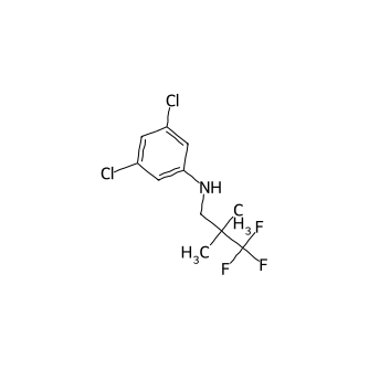 CC(C)(CNc1cc(Cl)cc(Cl)c1)C(F)(F)F